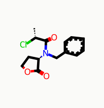 C[C@@H](Cl)C(=O)N(Cc1ccccc1)[C@H]1CCOC1=O